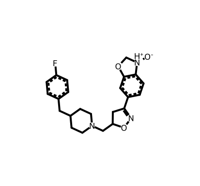 [O-][NH+]1COc2cc(C3=NOC(CN4CCC(Cc5ccc(F)cc5)CC4)C3)ccc21